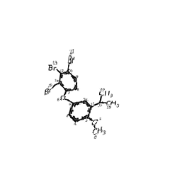 COc1ccc(Oc2ccc(Br)c(Br)c2Br)cc1C(C)C